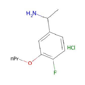 CCCOc1cc(C(C)N)ccc1F.Cl